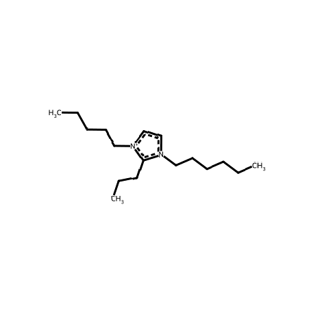 CCCCCCn1cc[n+](CCCCC)c1CCC